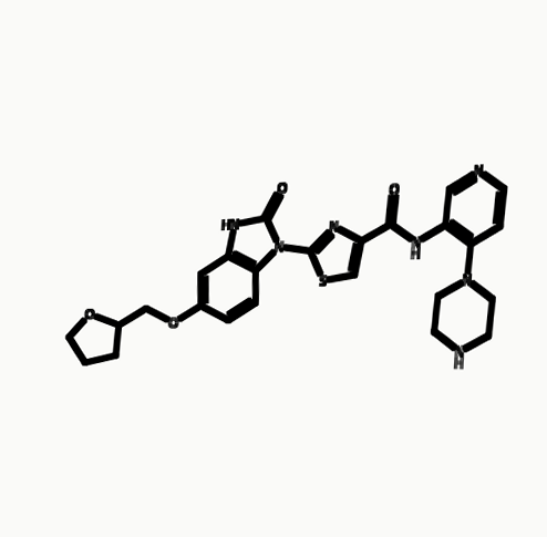 O=C(Nc1cnccc1N1CCNCC1)c1csc(-n2c(=O)[nH]c3cc(OCC4CCCO4)ccc32)n1